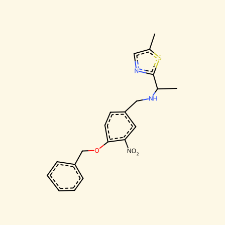 Cc1cnc(C(C)NCc2ccc(OCc3ccccc3)c([N+](=O)[O-])c2)s1